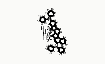 CC1(C)c2cc(N(c3ccccc3)c3ccccc3)ccc2-c2ccc3c(c21)C(C)(C)c1cc(N(c2ccccc2)c2ccccc2)c2ccccc2c1-3